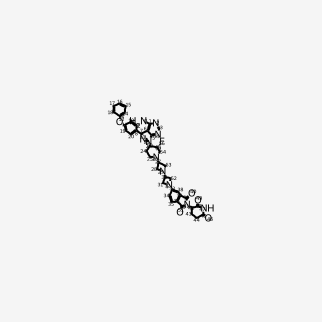 Nc1ncnc2c1c(-c1ccc(Oc3ccccc3)cc1)nn2[C@H]1CCN(C2CN(C3CN(c4ccc5c(c4)C(=O)N(C4CCC(=O)NC4=O)C5=O)C3)C2)C[C@H]1F